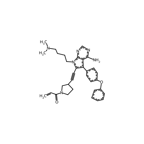 C=CC(=O)N1CCC(C#Cc2c(-c3ccc(Oc4ccccc4)cc3)c3c(N)ncnc3n2CCCCN(C)C)C1